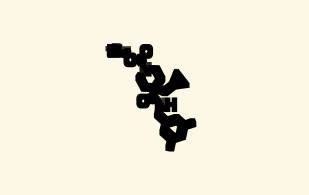 Cc1cc(C)cc(CNC(=O)C2(CC3CC3)CCN(C(=O)OC(C)(C)C)CC2)c1